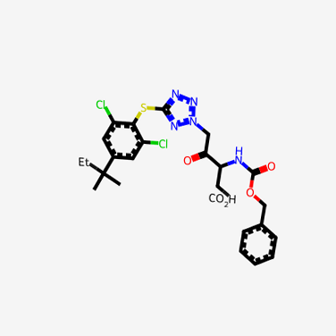 CCC(C)(C)c1cc(Cl)c(Sc2nnn(CC(=O)C(CC(=O)O)NC(=O)OCc3ccccc3)n2)c(Cl)c1